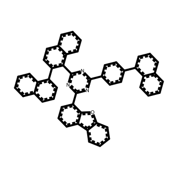 c1ccc2c(-c3ccc(-c4nc(-c5c(-c6cccc7ccccc67)ccc6ccccc56)nc(-c5cccc6c5oc5ccccc56)n4)cc3)cccc2c1